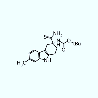 Cc1ccc2c3c([nH]c2c1)CC[C@](NC(=O)OC(C)(C)C)(C(N)=S)C3